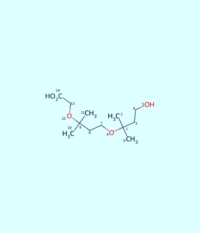 CC(C)(CCO)OCCC(C)(C)OCC(=O)O